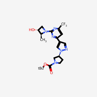 C[C@H]1[C@H](O)CN1c1nc(-c2cnn([C@H]3CCN(C(=O)OC(C)(C)C)C3)c2)cc(C(F)(F)F)n1